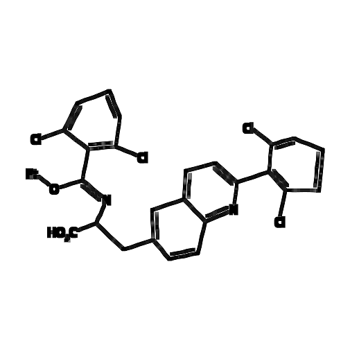 CCOC(=NC(Cc1ccc2nc(-c3c(Cl)cccc3Cl)ccc2c1)C(=O)O)c1c(Cl)cccc1Cl